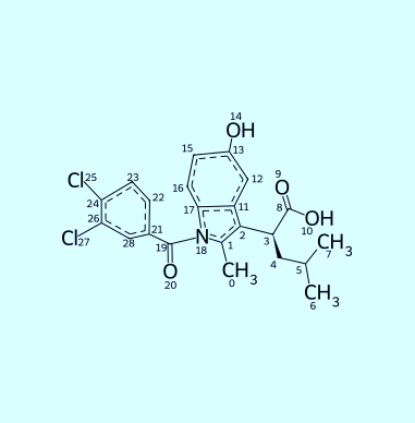 Cc1c([C@H](CC(C)C)C(=O)O)c2cc(O)ccc2n1C(=O)c1ccc(Cl)c(Cl)c1